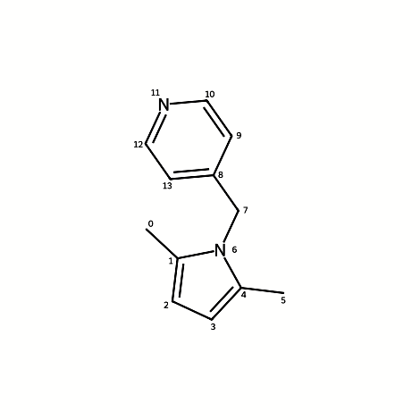 Cc1ccc(C)n1Cc1ccncc1